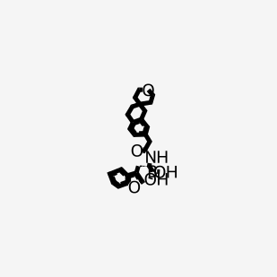 O=C(Cc1ccc2c(c1)CC1(CCOCC1)CC2)N[C@@H](Cc1coc2ccccc12)B(O)O